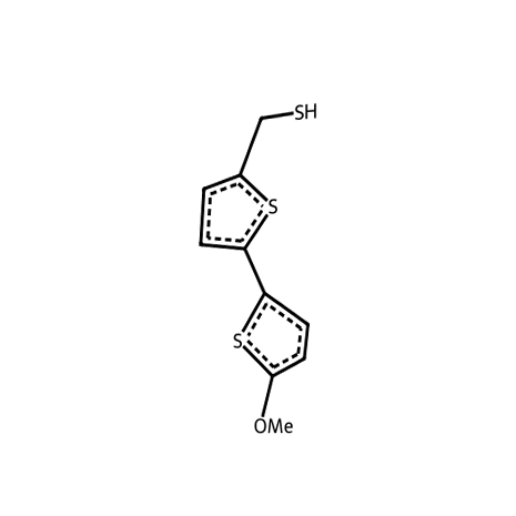 COc1ccc(-c2ccc(CS)s2)s1